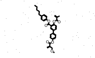 C=C(C)C(=O)Oc1ccc(-c2ccc(OC(=O)C(=C)COC)cc2)cc1C(=O)Oc1ccc(CCCCC)cc1